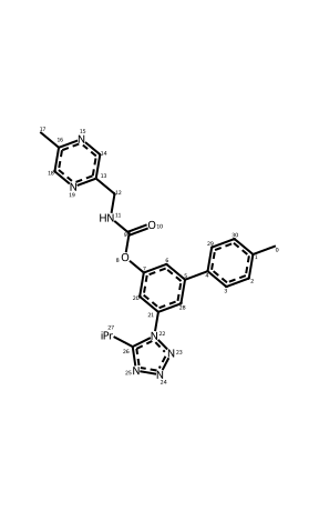 Cc1ccc(-c2cc(OC(=O)NCc3cnc(C)cn3)cc(-n3nnnc3C(C)C)c2)cc1